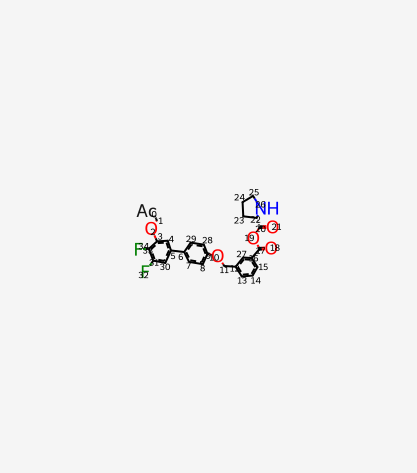 CC(=O)COc1cc(-c2ccc(OCc3cccc(C(=O)OC(=O)[C@@H]4CCCN4)c3)cc2)cc(F)c1F